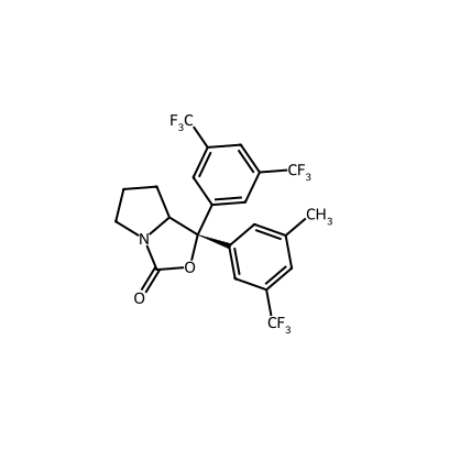 Cc1cc(C(F)(F)F)cc([C@@]2(c3cc(C(F)(F)F)cc(C(F)(F)F)c3)OC(=O)N3CCCC32)c1